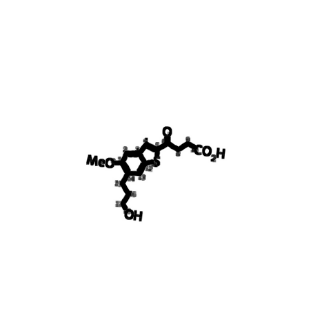 COc1cc2cc(C(=O)CCC(=O)O)sc2cc1CCCO